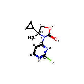 C[C@@]1(C2CC2)COC(=O)N1c1ccnc(F)n1